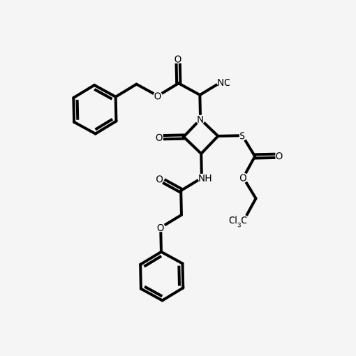 [C-]#[N+]C(C(=O)OCc1ccccc1)N1C(=O)C(NC(=O)COc2ccccc2)C1SC(=O)OCC(Cl)(Cl)Cl